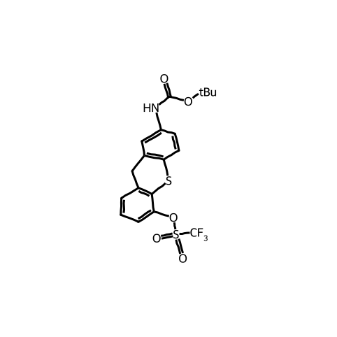 CC(C)(C)OC(=O)Nc1ccc2c(c1)Cc1cccc(OS(=O)(=O)C(F)(F)F)c1S2